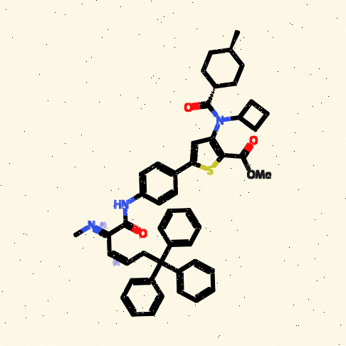 C/N=C(\C=C/CC(c1ccccc1)(c1ccccc1)c1ccccc1)C(=O)Nc1ccc(-c2cc(N(C(=O)[C@H]3CC[C@H](C)CC3)C3CCC3)c(C(=O)OC)s2)cc1